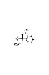 CC(C)(C)OC(=O)C(N)(CC(=O)O)c1ccccc1